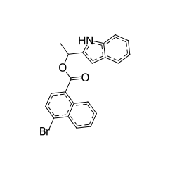 CC(OC(=O)c1ccc(Br)c2ccccc12)c1cc2ccccc2[nH]1